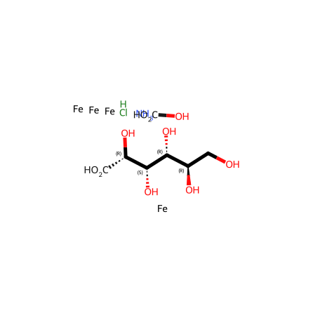 Cl.N.O=C(O)O.O=C(O)[C@H](O)[C@@H](O)[C@H](O)[C@H](O)CO.[Fe].[Fe].[Fe].[Fe]